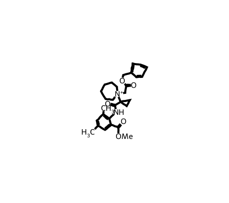 COC(=O)c1cc(C)cc(C)c1NC(=O)C1([N+]2(CC(=O)OCc3ccccc3)CCCCCC2)CC1